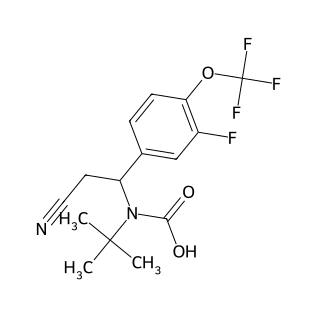 CC(C)(C)N(C(=O)O)C(CC#N)c1ccc(OC(F)(F)F)c(F)c1